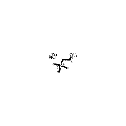 C[N+](C)(C)CCO.Cl.[Zn]